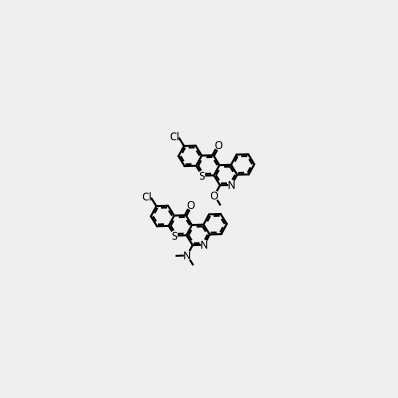 CN(C)c1nc2ccccc2c2c(=O)c3cc(Cl)ccc3sc12.COc1nc2ccccc2c2c(=O)c3cc(Cl)ccc3sc12